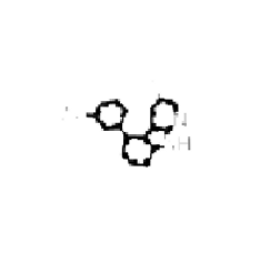 CC(=O)c1cccc(-c2cccc3[nH]c4ncc(Cl)cc4c23)c1